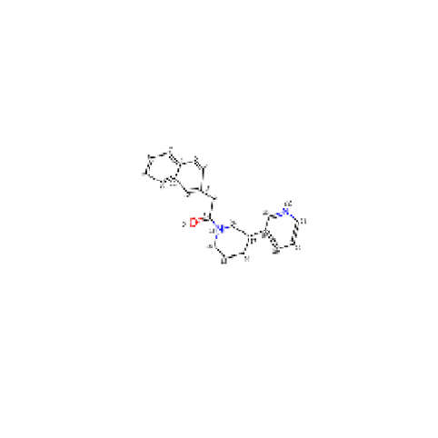 O=C(Cc1ccc2ccccc2c1)N1CCCC(c2cccnc2)C1